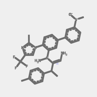 Cc1ccc(C(C)/C(=C/N)N(N)c2cc(-c3cccc([S+](C)[O-])c3)ccc2-n2cc(C(F)(F)F)nc2C)cc1